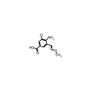 CO/N=C/c1cc(C(=O)O)cc(Cl)c1N